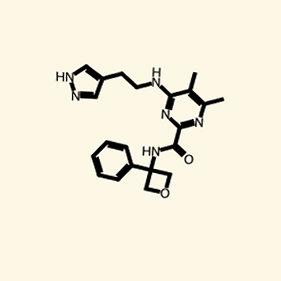 Cc1nc(C(=O)NC2(c3ccccc3)COC2)nc(NCCc2cn[nH]c2)c1C